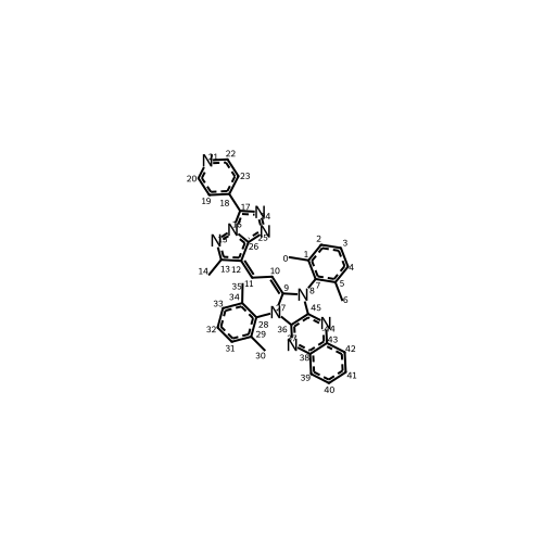 Cc1cccc(C)c1N1C(=C/C=c2/c(C)nn3c(-c4ccncc4)nnc23)N(c2c(C)cccc2C)c2nc3ccccc3nc21